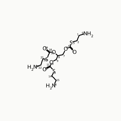 NCCSC(=O)OCC(COC(=O)SCCN)OC(=O)SCCN